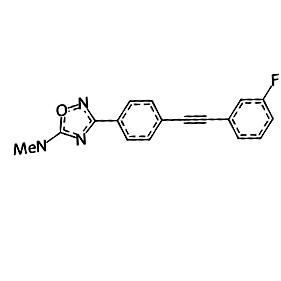 CNc1nc(-c2ccc(C#Cc3cccc(F)c3)cc2)no1